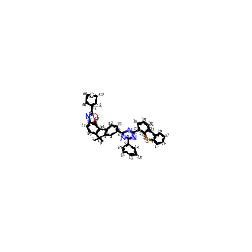 CC1(C)c2cc(-c3nc(-c4ccccc4)nc(-c4cccc5c4sc4ccccc45)n3)ccc2-c2c1ccc1nc(-c3ccccc3)oc21